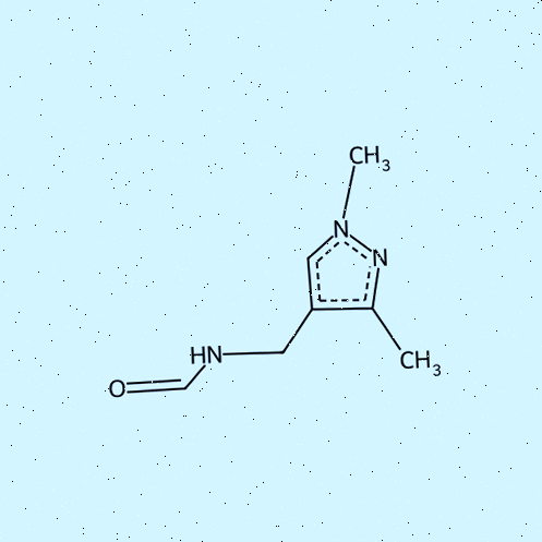 Cc1nn(C)cc1CNC=O